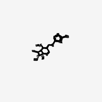 CCc1nsc(SCC2=C(C(=O)O)N3C(=O)[C@@H](O)[C@@H]3SC2)n1